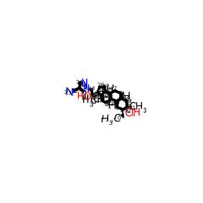 CC[C@H]1C[C@H]2[C@H](CC[C@@H]3[C@@H]2CC[C@]2(C)[C@@H](C(C)(O)Cn4cc(C#N)cn4)CC[C@@H]32)C[C@]1(C)O